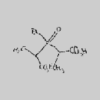 CCP(=O)(C(C)C(=O)O)C(C)C(=O)O